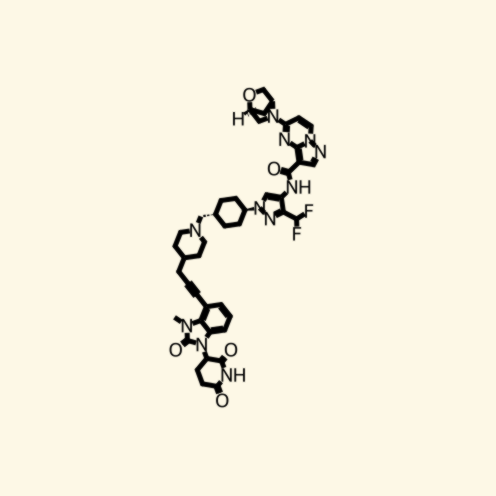 Cn1c(=O)n(C2CCC(=O)NC2=O)c2cccc(C#CCC3CCN(C[C@H]4CC[C@H](n5cc(NC(=O)c6cnn7ccc(N8C[C@H]9CC8CO9)nc67)c(C(F)F)n5)CC4)CC3)c21